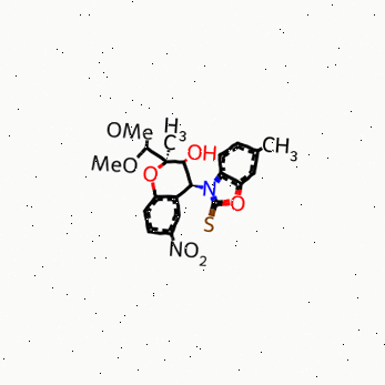 COC(OC)[C@]1(C)Oc2ccc([N+](=O)[O-])cc2[C@H](n2c(=S)oc3cc(C)ccc32)[C@H]1O